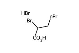 Br.CCCCC(Br)C(=O)O